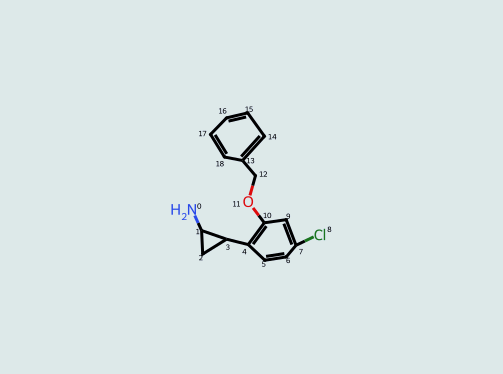 NC1CC1c1ccc(Cl)cc1OCc1ccccc1